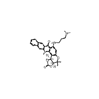 CN(C)CCCNc1cc2c(c3c1c(=O)c1cc4ccccc4cc1n3C)[C@@H]1OC(=O)O[C@@H]1C(C)(C)O2